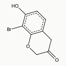 O=C1COc2c(ccc(O)c2Br)C1